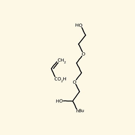 C=CC(=O)O.CCCCC(O)COCCOCCO